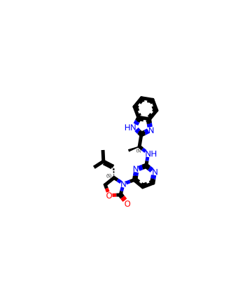 CC(C)=C[C@H]1COC(=O)N1c1ccnc(N[C@@H](C)c2nc3ccccc3[nH]2)n1